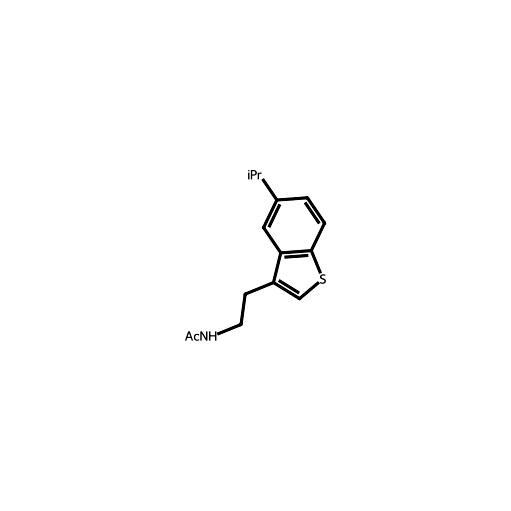 CC(=O)NCCc1csc2ccc(C(C)C)cc12